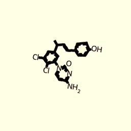 CC(/C=C/c1ccc(O)cc1)c1cc(Cl)c(Cl)c(-n2ccc(N)nc2=O)c1